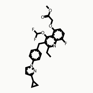 CCc1nc2c(F)ccc(OCC(=O)OC)c2c(OC(F)F)c1Cc1ccc(-n2ccc(C3CC3)n2)cc1